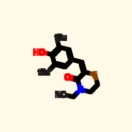 CC(C)(C)c1cc(/C=C2/SCCN(CC#N)C2=O)cc(C(C)(C)C)c1O